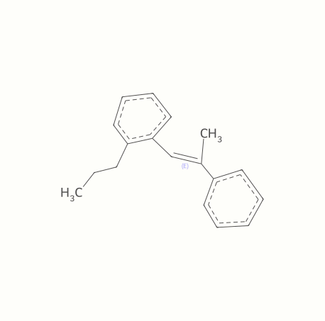 CCCc1ccccc1/C=C(\C)c1ccccc1